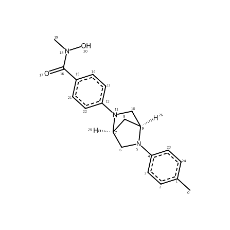 Cc1ccc(N2C[C@@H]3C[C@H]2CN3c2ccc(C(=O)N(C)O)cc2)cc1